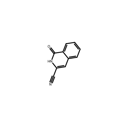 N#Cc1cc2ccccc2c(=O)[nH]1